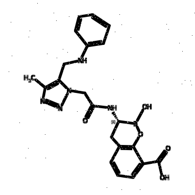 Cc1nnn(CC(=O)N[C@H]2Cc3cccc(C(=O)O)c3OB2O)c1CNc1ccccc1